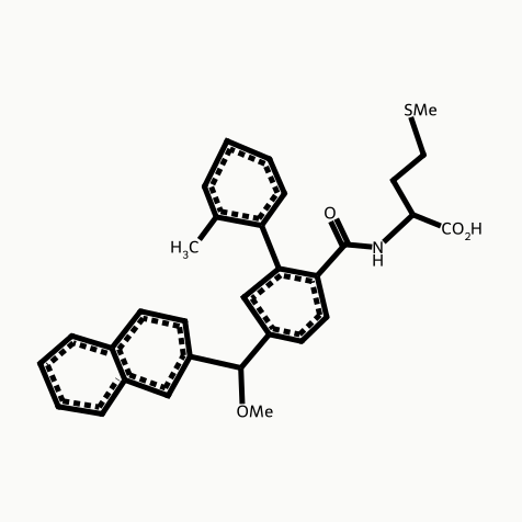 COC(c1ccc(C(=O)NC(CCSC)C(=O)O)c(-c2ccccc2C)c1)c1ccc2ccccc2c1